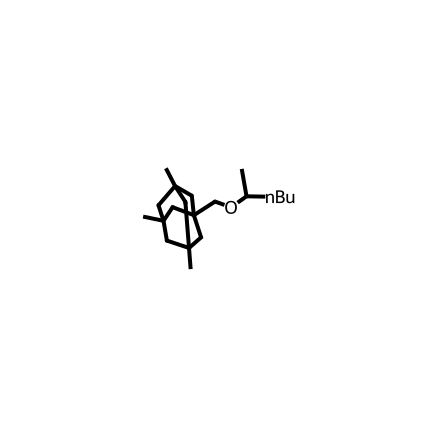 CCCCC(C)OCC12CC3(C)CC(C)(CC(C)(C3)C1)C2